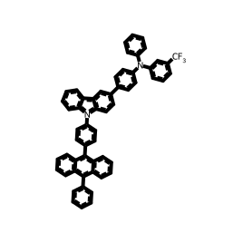 FC(F)(F)c1cccc(N(c2ccccc2)c2ccc(-c3ccc4c(c3)c3ccccc3n4-c3ccc(-c4c5ccccc5c(-c5ccccc5)c5ccccc45)cc3)cc2)c1